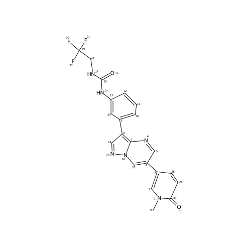 Cn1cc(-c2cnc3c(-c4cccc(NC(=O)NCC(F)(F)F)c4)cnn3c2)ccc1=O